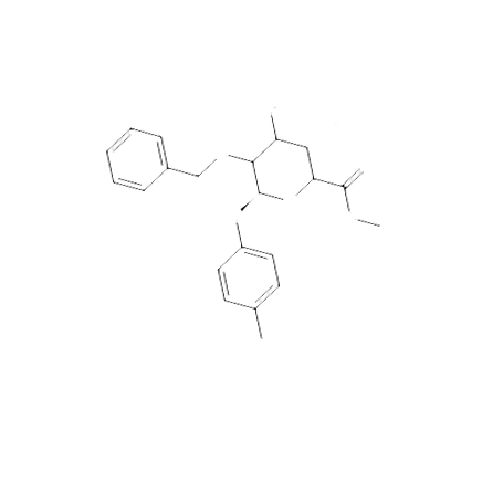 COC(=O)C1O[C@@H](Sc2ccc(C)cc2)C(OCc2ccccc2)C(O)[C@@H]1O